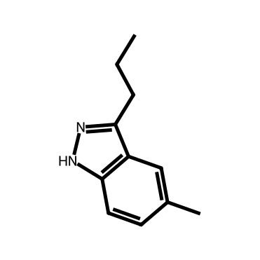 CCCc1n[nH]c2ccc(C)cc12